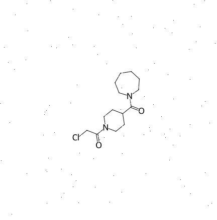 O=C(CCl)N1CCC(C(=O)N2CCCCCC2)CC1